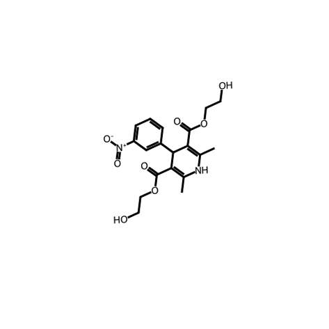 CC1=C(C(=O)OCCO)C(c2cccc([N+](=O)[O-])c2)C(C(=O)OCCO)=C(C)N1